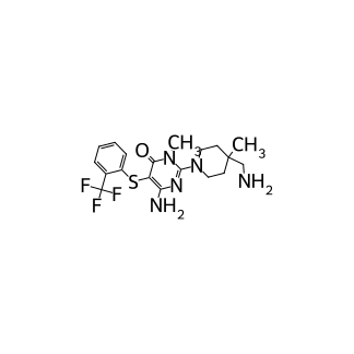 Cn1c(N2CCC(C)(CN)CC2)nc(N)c(Sc2ccccc2C(F)(F)F)c1=O